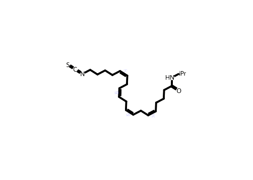 CC(C)NC(=O)CCC/C=C\C/C=C\C/C=C\C/C=C\CCCCN=C=S